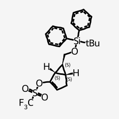 CC(C)(C)[Si](OC[C@H]1[C@@H]2CC=C(OS(=O)(=O)C(F)(F)F)[C@@H]21)(c1ccccc1)c1ccccc1